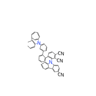 C/C=C\C1=C(C)C2C=CC=CC(=C2)N1c1cccc(-c2ccccc2-c2ccc(C#N)c(C#N)c2-n2c3ccccc3c3cc(C#N)ccc32)c1